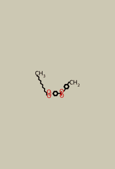 C=Cc1ccc(COC(=O)c2ccc(B3OCC(CCCCCCCCCC)O3)cc2)cc1